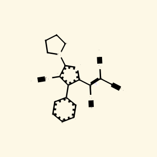 [C-]#[N+]/C(C#N)=C(/[N+]#[C-])c1sc(N2CCCC2)c([N+]#[C-])c1-c1ccccc1